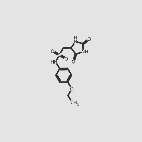 CCOc1ccc(NS(=O)(=O)CC2NC(=O)NC2=O)cc1